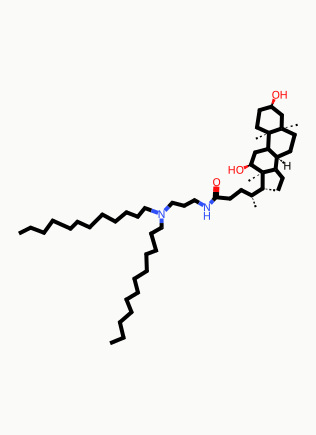 CCCCCCCCCCCCN(CCCCCCCCCCCC)CCCNC(=O)CC[C@@H](C)[C@H]1CCC2[C@@H]3CC[C@]4(C)C[C@H](O)CC[C@]4(C)C3C[C@H](O)[C@@]21C